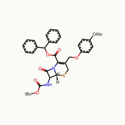 COc1ccc(OCC2=C(C(=O)OC(c3ccccc3)c3ccccc3)N3C(=O)C(NC(=O)OC(C)(C)C)[C@H]3SC2)cc1